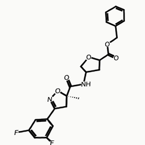 C[C@]1(C(=O)NC2COC(C(=O)OCc3ccccc3)C2)CC(c2cc(F)cc(F)c2)=NO1